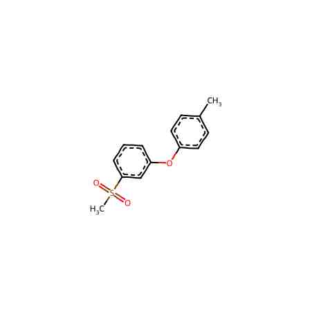 Cc1ccc(Oc2cccc(S(C)(=O)=O)c2)cc1